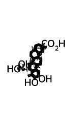 Cc1c(O)c(O)cc2c1[C@H](CN(O)O)C=C1[C@@]2(C)CC[C@@]2(C)[C@@H]3C[C@](C)(C(=O)O)CC[C@]3(C)CC[C@]12C